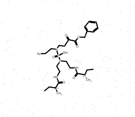 CC(=O)CCN(CCC(=O)C(=O)OCc1ccccc1)P(=O)(O)N(CCNC(=O)[C@@H](C)CI)CCNC(=O)[C@@H](C)CI